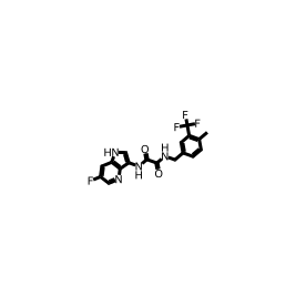 Cc1ccc(CNC(=O)C(=O)Nc2c[nH]c3cc(F)cnc23)cc1C(F)(F)F